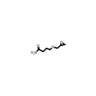 NC(=O)CCCOCC1CO1